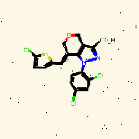 O=C(O)c1nn(-c2ccc(Cl)cc2Cl)c2c1COC/C2=C\c1ccc(Cl)s1